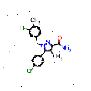 Cc1ccc(Cn2nc(C(N)=O)c(C)c2-c2ccc(Cl)cc2)cc1Cl